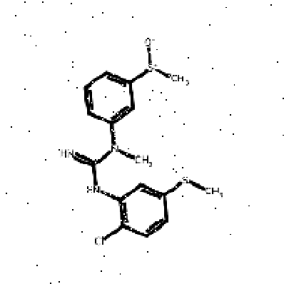 CSc1ccc(Cl)c(NC(=N)N(C)c2cccc([S@+](C)[O-])c2)c1